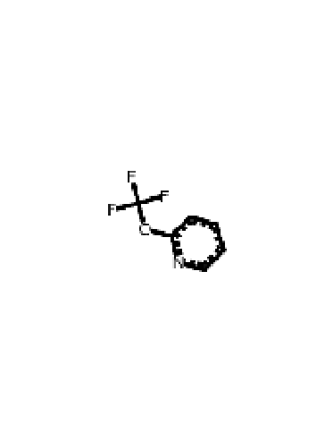 FC(F)(F)Oc1ccccn1